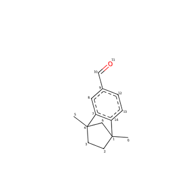 CC12CCC(C)(C1)c1cc(C=O)ccc12